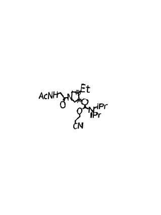 CC[C@@H]1CN(C(=O)CNC(C)=O)C[C@@H]1OC(OCCC#N)N(C(C)C)C(C)C